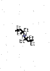 CCC(C)(CC)CC(C)(CC)/N=N/C(C)(CC)CC(C)(CC)CC